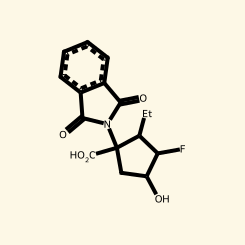 CCC1C(F)C(O)CC1(C(=O)O)N1C(=O)c2ccccc2C1=O